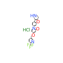 Cl.O=c1cc(OCc2ccc(C(F)(F)F)nc2)ccn1-c1ccc2c3c(oc2c1)CCNC3